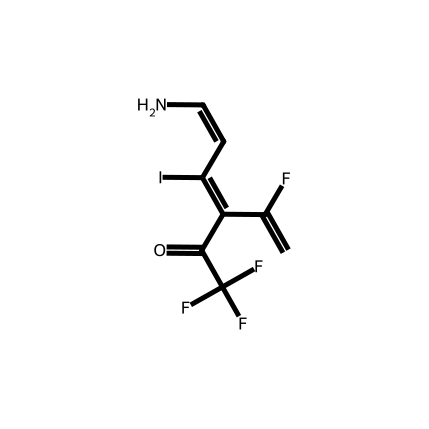 C=C(F)/C(C(=O)C(F)(F)F)=C(I)\C=C/N